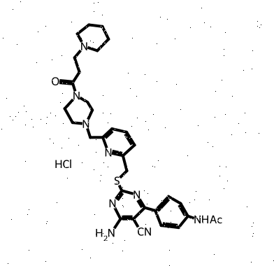 CC(=O)Nc1ccc(-c2nc(SCc3cccc(CN4CCN(C(=O)CCN5CCCCC5)CC4)n3)nc(N)c2C#N)cc1.Cl